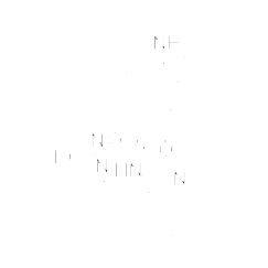 Cl.N#N.Nc1ccc(S(=O)(=O)Nc2ccccn2)cc1